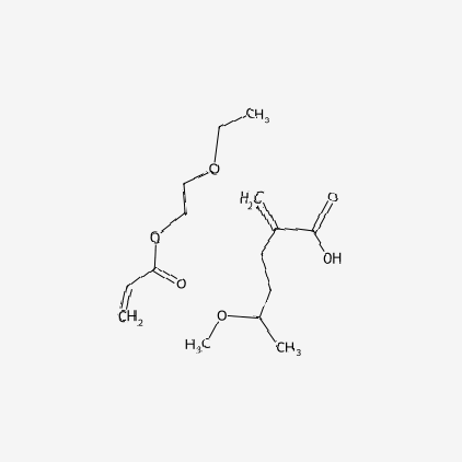 C=C(CCC(C)OC)C(=O)O.C=CC(=O)OCCOCC